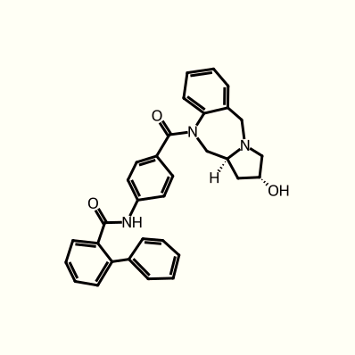 O=C(Nc1ccc(C(=O)N2C[C@@H]3C[C@@H](O)CN3Cc3ccccc32)cc1)c1ccccc1-c1ccccc1